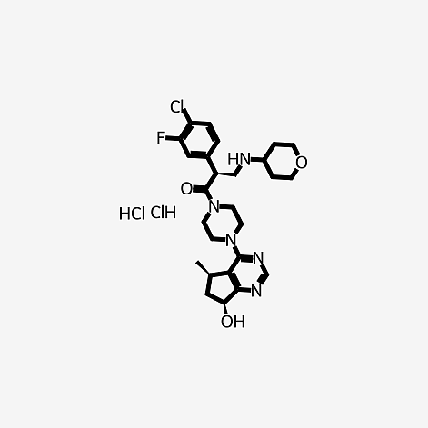 C[C@@H]1C[C@H](O)c2ncnc(N3CCN(C(=O)[C@H](CNC4CCOCC4)c4ccc(Cl)c(F)c4)CC3)c21.Cl.Cl